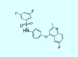 Cc1cc(Oc2ccc(NS(=O)(=O)c3cc(F)cc(F)c3)cc2)c2cc(F)ccc2n1